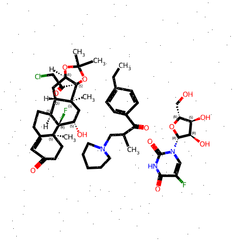 CC1(C)O[C@@H]2C[C@H]3[C@@H]4CCC5=CC(=O)CC[C@]5(C)[C@@]4(F)[C@@H](O)C[C@]3(C)[C@]2(C(=O)CCl)O1.CCc1ccc(C(=O)C(C)CN2CCCCC2)cc1.O=c1[nH]c(=O)n([C@@H]2O[C@H](CO)[C@@H](O)[C@H]2O)cc1F